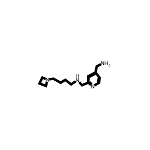 NCc1ccnc(CNCCCCN2CCC2)c1